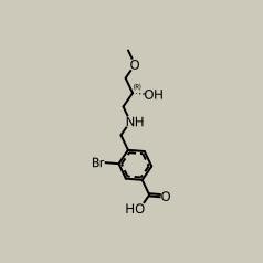 COC[C@H](O)CNCc1ccc(C(=O)O)cc1Br